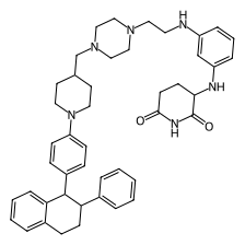 O=C1CCC(Nc2cccc(NCCN3CCN(CC4CCN(c5ccc(C6c7ccccc7CCC6c6ccccc6)cc5)CC4)CC3)c2)C(=O)N1